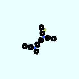 c1ccc(-c2ccc(N(c3ccccc3)c3ccc(-c4ccc(N(c5ccc(-c6ccccc6)cc5)c5ccc6c(c5)sc5ccccc56)cc4)cc3)cc2)cc1